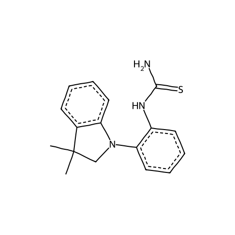 CC1(C)CN(c2ccccc2NC(N)=S)c2ccccc21